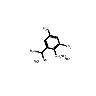 Cc1cc(C)c(N)c(C(N)N)c1.Cl.Cl.Cl